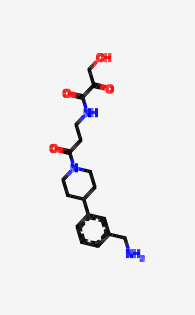 NCc1cccc(C2CCN(C(=O)CCNC(=O)C(=O)CO)CC2)c1